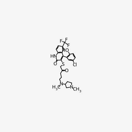 CN1CCC(N(C)CCCC(=O)CSc2c(-c3cc(Cl)ccc3O)c3cc(C(F)(F)F)ccc3[nH]c2=O)C1